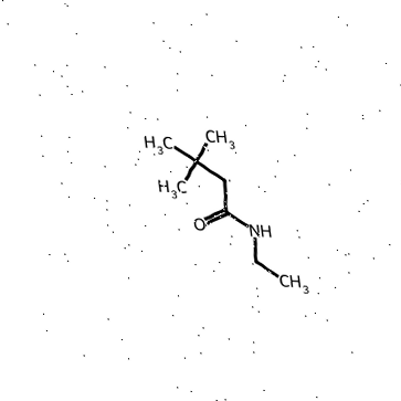 CCNC(=O)[CH]C(C)(C)C